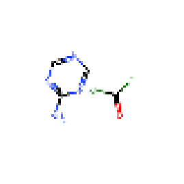 Nc1ncncn1.O=C(Cl)Cl